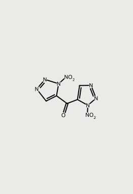 O=C(c1cnnn1[N+](=O)[O-])c1cnnn1[N+](=O)[O-]